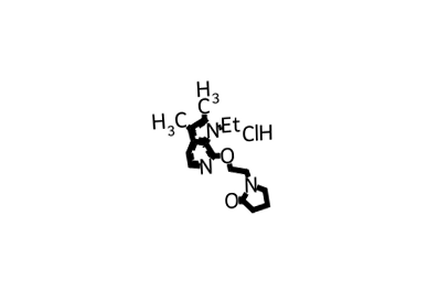 CCn1c(C)c(C)c2ccnc(OCCN3CCCC3=O)c21.Cl